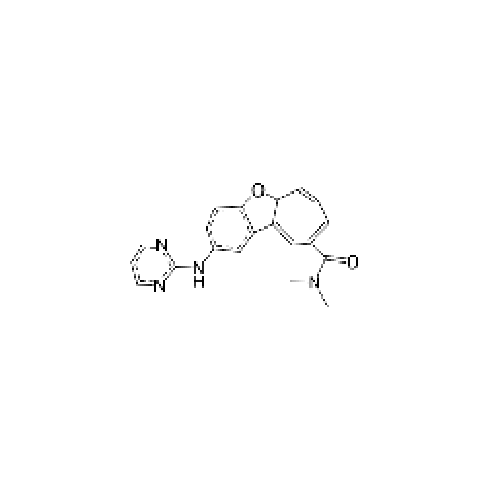 CN(C)C(=O)C1=CC=CC2Oc3ccc(Nc4ncccn4)cc3C2=C1